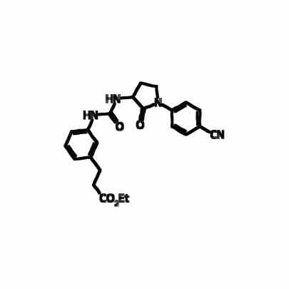 CCOC(=O)CCc1cccc(NC(=O)NC2CCN(c3ccc(C#N)cc3)C2=O)c1